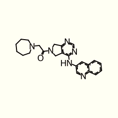 O=C(CN1CCCCCC1)N1Cc2ncnc(Nc3cnc4ccccc4c3)c2C1